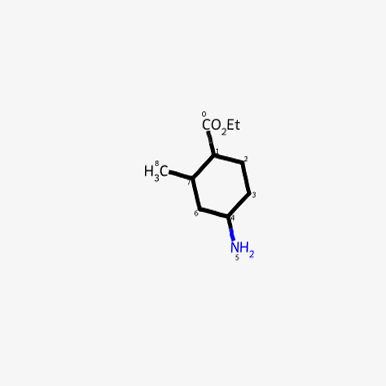 CCOC(=O)C1CCC(N)CC1C